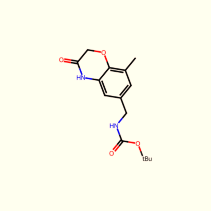 Cc1cc(CNC(=O)OC(C)(C)C)cc2c1OCC(=O)N2